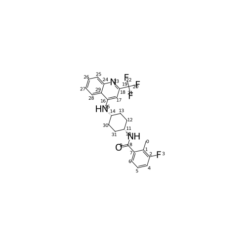 Cc1c(F)cccc1C(=O)N[C@H]1CC[C@@H](Nc2cc(C(F)(F)F)nc3ccccc23)CC1